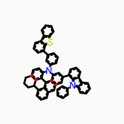 c1ccc(-n2c3ccccc3c3cccc(-c4cccc(N(c5cccc(-c6cccc7c6sc6ccccc67)c5)c5ccccc5-c5cccc6cccc(C7CCCCC7)c56)c4)c32)cc1